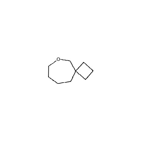 C1CCC2(CCC2)COC1